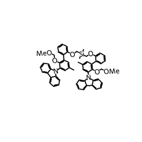 COCOc1c(-c2ccccc2OC[Si](C)(C)COc2ccccc2-c2cc(C)cc(-n3c4ccccc4c4ccccc43)c2OCOC)cc(C)cc1-n1c2ccccc2c2ccccc21